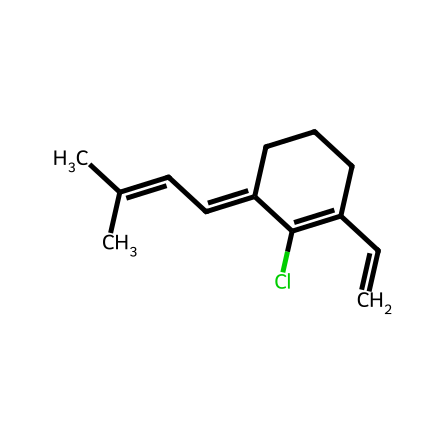 C=CC1=C(Cl)/C(=C/C=C(C)C)CCC1